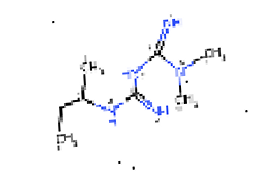 CCC(C)NC(=N)NC(=N)N(C)C